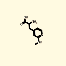 CNc1cc(CC(N)C(=O)O)ccn1